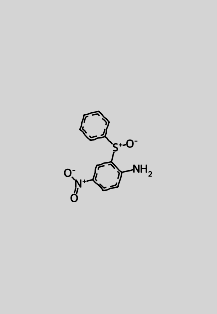 Nc1ccc([N+](=O)[O-])cc1[S+]([O-])c1ccccc1